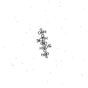 CCN(CC)C1Cc2c([nH]c3ccc(C(=O)NC4CCC4)cc23)C(OC(=O)C(=O)OC2CC(N(CC)CC)Cc3c2[nH]c2ccc(C(=O)NC4CCC4)cc32)C1